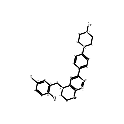 CC(C)N1CCN(c2ccc(-c3cc4c(nn3)NCCN4Cc3cc(Cl)ccc3Cl)cc2)CC1